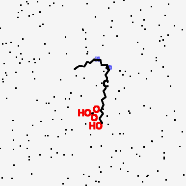 CCCCC/C=C\C/C=C\CCCCCCCCC(CCCO)OC(=O)O